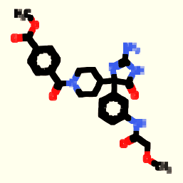 COCC(=O)Nc1cccc(C2(C3CCN(C(=O)c4ccc(C(=O)OC)cc4)CC3)N=C(N)NC2=O)c1